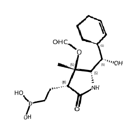 C[C@]1(OC=O)[C@@H](CCB(O)O)C(=O)N[C@H]1[C@@H](O)[C@@H]1C=CCCC1